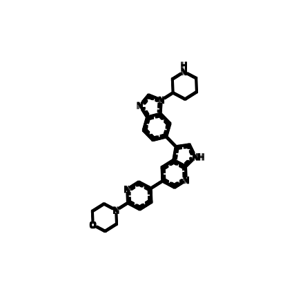 c1cc(N2CCOCC2)ncc1-c1cnc2[nH]cc(-c3ccc4ncn(C5CCCNC5)c4c3)c2c1